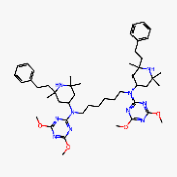 COc1nc(OC)nc(N(CCCCCCN(c2nc(OC)nc(OC)n2)C2CC(C)(C)NC(C)(CCc3ccccc3)C2)C2CC(C)(C)NC(C)(CCc3ccccc3)C2)n1